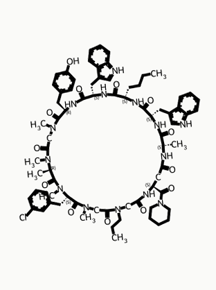 CCCC[C@@H]1NC(=O)[C@H](Cc2c[nH]c3ccccc23)NC(=O)[C@H](C)NC(=O)C[C@@H](C(=O)N2CCCCC2)NC(=O)CN(CCC)C(=O)CN(C)C(=O)[C@H](Cc2cccc(Cl)c2)N(C)C(=O)[C@@H](C)N(C)C(=O)CN(C)C(=O)[C@@H](Cc2ccc(O)cc2)NC(=O)[C@H](Cc2c[nH]c3ccccc23)NC1=O